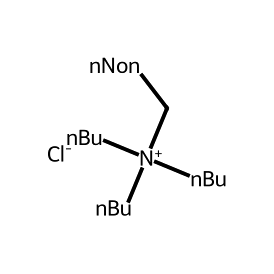 CCCCCCCCCC[N+](CCCC)(CCCC)CCCC.[Cl-]